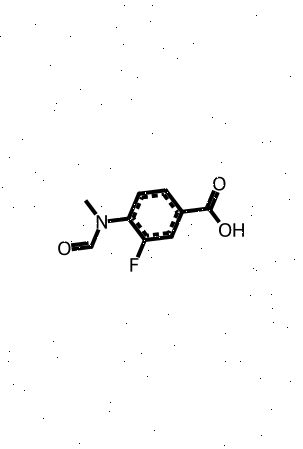 CN(C=O)c1ccc(C(=O)O)cc1F